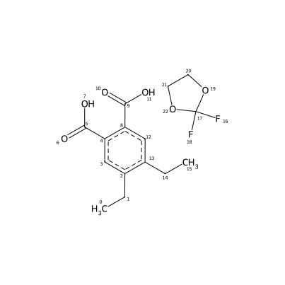 CCc1cc(C(=O)O)c(C(=O)O)cc1CC.FC1(F)OCCO1